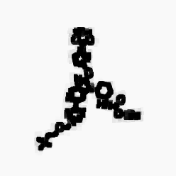 CC(C)(C)OC(=O)N[C@H]1CCC[C@@H](n2c(Oc3ccn(C(=O)OC(C)(C)C)n3)nc3cnc(-c4ncn(COCC[Si](C)(C)C)n4)cc32)C1